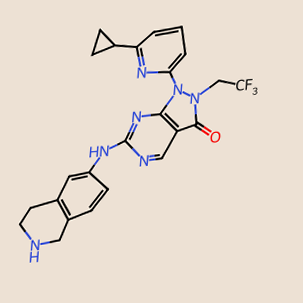 O=c1c2cnc(Nc3ccc4c(c3)CCNC4)nc2n(-c2cccc(C3CC3)n2)n1CC(F)(F)F